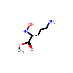 COC(=O)[C@@H](CCCN)NO